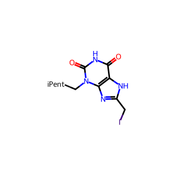 CCCC(C)Cn1c(=O)[nH]c(=O)c2[nH]c(CI)nc21